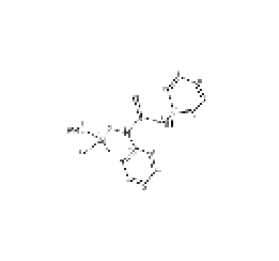 CO[Si](C)(C)CN(C(=O)Nc1ccccc1)c1ccccc1